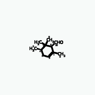 CC1=CC[C@@H](C)C(C)(C)[C@H]1C=O